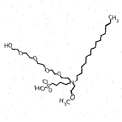 CCCCCCCCCCCCCCCC[N+](CCCCS(=O)(=O)O)(CCOC)CCOCCOCCOCCOCCO